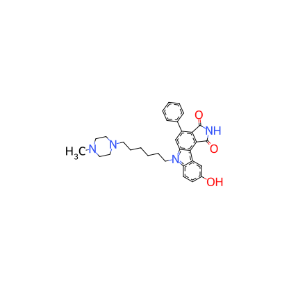 CN1CCN(CCCCCCn2c3ccc(O)cc3c3c4c(c(-c5ccccc5)cc32)C(=O)NC4=O)CC1